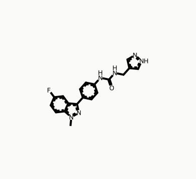 Cn1nc(-c2ccc(NC(=O)NCc3cn[nH]c3)cc2)c2cc(F)ccc21